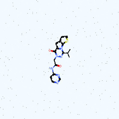 CC(C)c1nn(CC(=O)Nc2ccncn2)c(=O)c2cc3ccsc3n12